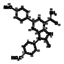 CCOC(=O)c1ccc(-n2c(=O)[nH]c3c(C(N)=O)nc(-c4ccc(OC)cc4)nc32)cc1